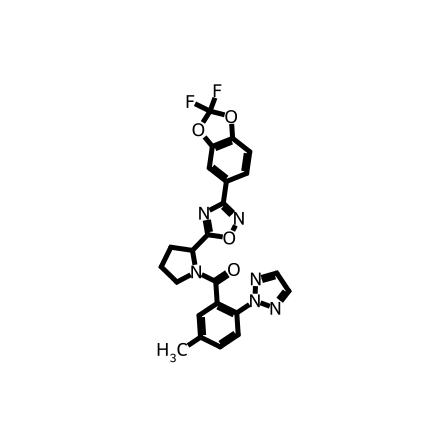 Cc1ccc(-n2nccn2)c(C(=O)N2CCCC2c2nc(-c3ccc4c(c3)OC(F)(F)O4)no2)c1